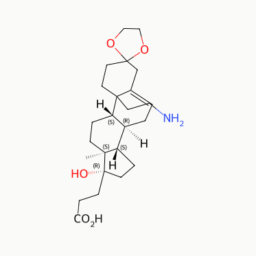 C[C@]12CC[C@H]3[C@@H](CC=C4CC5(CCC43CCN)OCCO5)[C@@H]1CC[C@@]2(O)CCC(=O)O